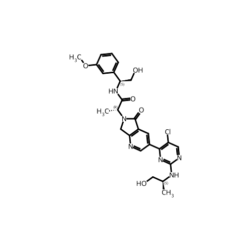 COc1cccc([C@@H](CO)NC(=O)[C@@H](C)N2Cc3ncc(-c4nc(N[C@@H](C)CO)ncc4Cl)cc3C2=O)c1